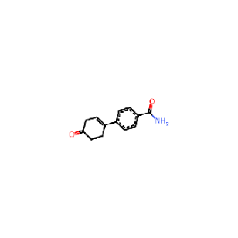 NC(=O)c1ccc(C2=CCC(=O)CC2)cc1